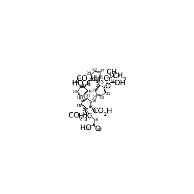 CC(C)(C)C(=O)O.CCC(=O)O.O=C(O)Cc1ccccc1.O=C(O)c1ccccc1-c1ccccc1.O=C(O)c1ccccc1C(=O)O